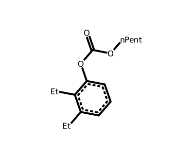 CCCCCOC(=O)Oc1cccc(CC)c1CC